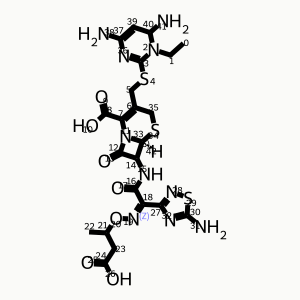 CCN1C(SCC2=C(C(=O)O)N3C(=O)C(NC(=O)/C(=N\OC(C)CC(=O)O)c4nsc(N)n4)[C@@H]3SC2)=NC(N)=CC1N